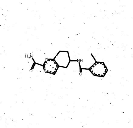 Cc1ccccc1C(=O)NC1CCc2nc(C(N)=O)ncc2C1